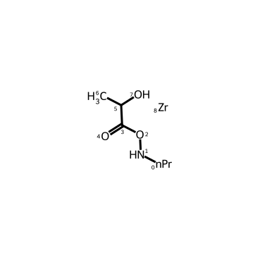 CCCNOC(=O)C(C)O.[Zr]